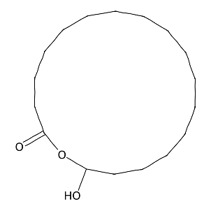 O=C1CCCCCCCCCCCCCCCC(O)O1